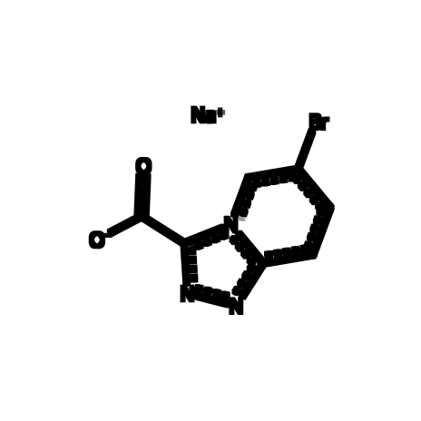 O=C([O-])c1nnc2ccc(Br)cn12.[Na+]